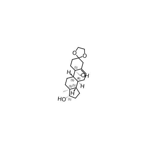 C[C@]12CC[C@H]3[C@@H](CC=C4CC5(CC[C@@]43CO)OCCO5)[C@@H]1CC[C@@H]2O